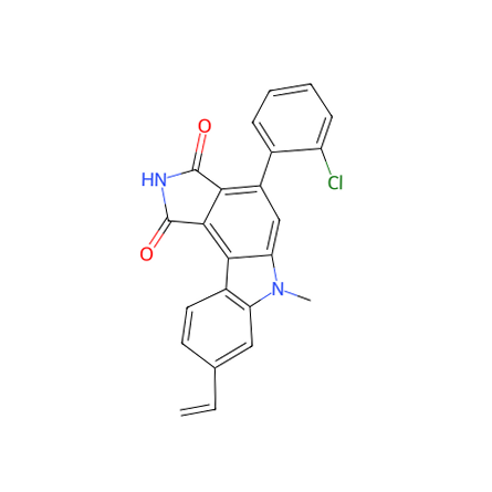 C=Cc1ccc2c3c4c(c(-c5ccccc5Cl)cc3n(C)c2c1)C(=O)NC4=O